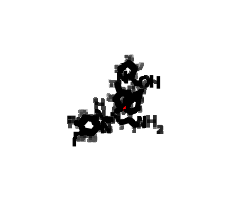 NCCCN(CC1CC[C@]2(C3C=C(CN4CCC[C@H]4CO)C=CC3)CC2C1)c1nc2cc(F)c(F)cc2[nH]1